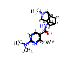 COc1nc(N(C)C)ncc1C(=O)NC1C2CC3CN(C)C1C3C2